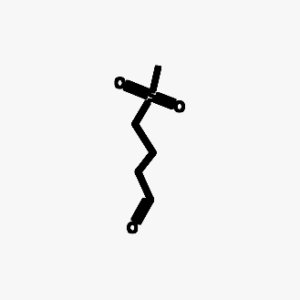 CS(=O)(=O)CCCC=O